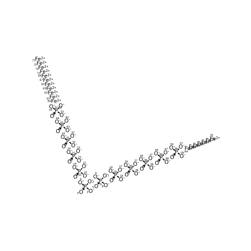 O=P([O-])([O-])[O-].O=P([O-])([O-])[O-].O=P([O-])([O-])[O-].O=P([O-])([O-])[O-].O=P([O-])([O-])[O-].O=P([O-])([O-])[O-].O=P([O-])([O-])[O-].O=P([O-])([O-])[O-].O=P([O-])([O-])[O-].O=P([O-])([O-])[O-].O=P([O-])([O-])[O-].O=P([O-])([O-])[O-].[Fe+2].[Fe+2].[Fe+2].[Fe+2].[Fe+2].[Fe+2].[Fe+2].[Fe+2].[Fe+2].[Fe+2].[Fe+2].[Fe+2].[Fe+2].[Fe+2].[Fe+2].[Fe+2].[Fe+2].[Fe+2]